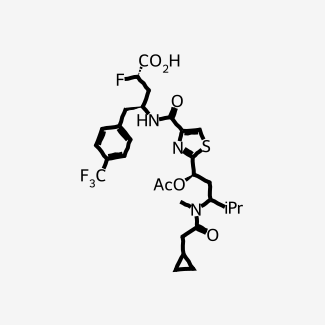 CC(=O)O[C@H](CC(C(C)C)N(C)C(=O)CC1CC1)c1nc(C(=O)N[C@@H](Cc2ccc(C(F)(F)F)cc2)C[C@H](F)C(=O)O)cs1